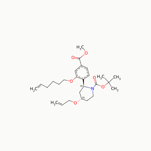 C=CCCCCOc1cc(C(=O)OC)ccc1[C@@H]1C[C@@H](OCC=C)CCN1C(=O)OC(C)(C)C